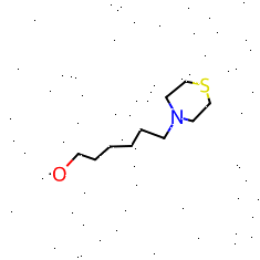 [O]CCCCCCN1CCSCC1